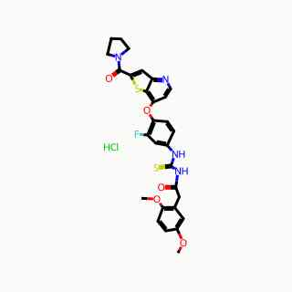 COc1ccc(OC)c(CC(=O)NC(=S)Nc2ccc(Oc3ccnc4cc(C(=O)N5CCCC5)sc34)c(F)c2)c1.Cl